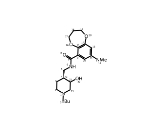 CCCCN1CC[C@@H](CNC(=O)c2cc(NC)cc3c2OCCCO3)C(O)C1